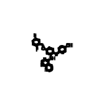 Oc1ccc(Sc2ccc(OCc3cc(F)ccc3F)cc2Nc2ncnc3ncccc23)cc1